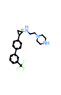 FC(F)(F)c1cccc(-c2ccc(C3C[C@@H]3NCCN3CCNCC3)cc2)c1